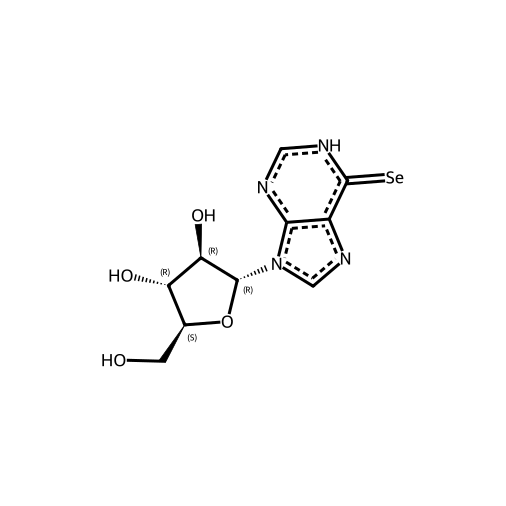 OC[C@@H]1O[C@@H](n2cnc3c(=[Se])[nH]cnc32)[C@H](O)[C@H]1O